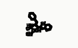 CC(C)(C)OC(=O)NC(CC1CCCCC1)C(O)C(S)CC1CCCCC1